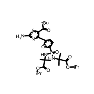 CC(C)OC(=O)C(C)(C)NP(=O)(NC(C)(C)C(=O)OC(C)C)c1ccc(-c2nc(N)sc2C(=O)C(C)(C)C)o1